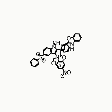 CC[N+]1(c2c(-c3ccccc3)n(C)c3ccc(S(=O)(=O)c4ccccc4)cc23)c2ccc([N+](=O)[O-])cc2OC1C=CC=C1Nc2ccccc2O1